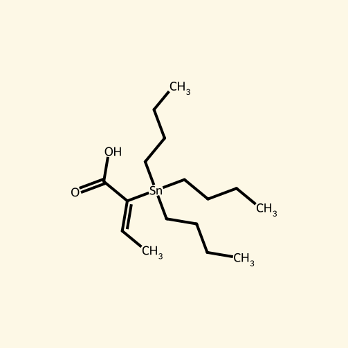 CC=[C](C(=O)O)[Sn]([CH2]CCC)([CH2]CCC)[CH2]CCC